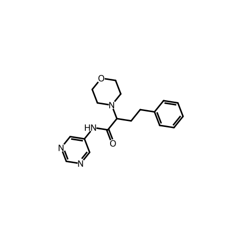 O=C(Nc1cncnc1)C(CCc1ccccc1)N1CCOCC1